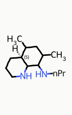 CCCNC1C(C)CC(C)[C@@H]2CCCNC12